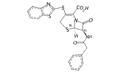 O=C(Cc1ccccc1)N[C@@H]1C(=O)N2C(C(=O)O)=C(Sc3nc4ccccc4s3)CS[C@H]12